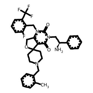 Cc1ccccc1CN1CCC2(CC1)OCc1c2c(=O)n(C[C@H](N)c2ccccc2)c(=O)n1Cc1c(F)cccc1C(F)(F)F